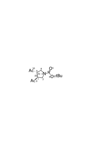 CC(=O)[C@@H]1CN(C(=O)OC(C)(C)C)C[C@H]1C(C)=O